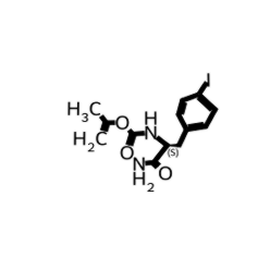 C=C(C)OC(=O)N[C@@H](Cc1ccc(I)cc1)C(N)=O